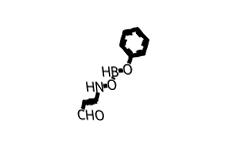 O=CC=CNOBOc1ccccc1